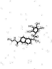 CC(C)CNC(=O)c1ccc2cc(N(C)S(=O)(=O)c3cc(C(C)C)c(O)c(O)c3O)ccc2c1